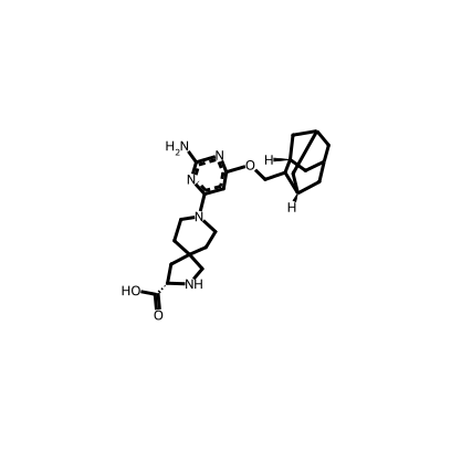 Nc1nc(OCC2[C@H]3CC4CC(C3)C[C@@H]2C4)cc(N2CCC3(CC2)CN[C@H](C(=O)O)C3)n1